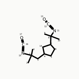 CC(C)(CC1CCC(C(C)(C)N=C=O)C1)N=C=O